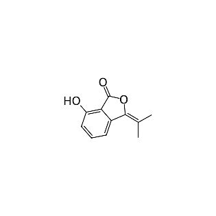 CC(C)=C1OC(=O)c2c(O)cccc21